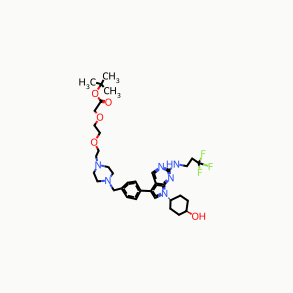 CC(C)(C)OC(=O)COCCOCCN1CCN(Cc2ccc(-c3cn([C@H]4CC[C@H](O)CC4)c4nc(NCCC(F)(F)F)ncc34)cc2)CC1